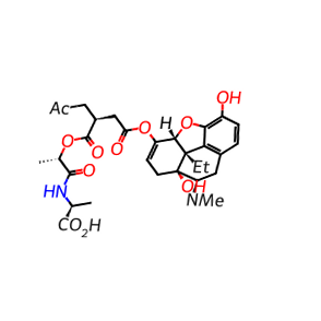 CC[C@]12c3c4ccc(O)c3O[C@H]1C(OC(=O)C[C@H](CC(C)=O)C(=O)O[C@@H](C)C(=O)N[C@@H](C)C(=O)O)=CC[C@@]2(O)[C@H](NC)C4